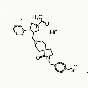 CC(=O)N1CC(CN2CCC3(CC2)CCN(Cc2ccc(Br)cc2)C3=O)C(c2ccccc2)C1.Cl